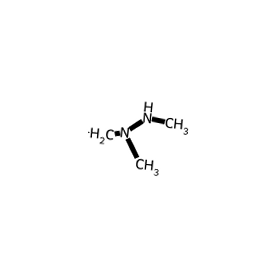 [CH2]N(C)NC